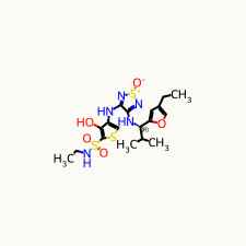 CCNS(=O)(=O)c1scc(Nc2n[s+]([O-])nc2N[C@@H](c2cc(CC)co2)C(C)C)c1O